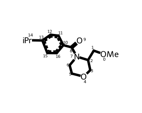 COCC1COCCN1C(=O)c1ccc(C(C)C)cc1